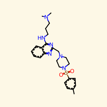 Cc1ccc(S(=O)(=O)N2CCN(Cc3nc(NCCCN(C)C)c4ccccc4n3)CC2)cc1